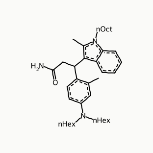 CCCCCCCCn1c(C)c(C(CC(N)=O)c2ccc(N(CCCCCC)CCCCCC)cc2C)c2ccccc21